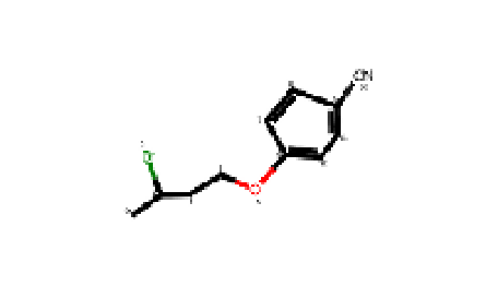 CC(Br)CCOc1ccc(C#N)cc1